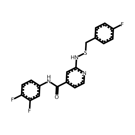 O=C(Nc1ccc(F)c(F)c1)c1ccnc(NSCc2ccc(F)cc2)c1